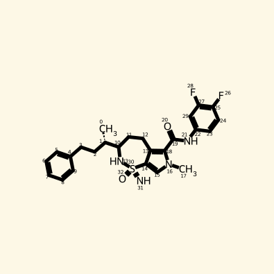 C[C@@H](CCc1ccccc1)C1CCc2c(cn(C)c2C(=O)Nc2ccc(F)c(F)c2)S(=N)(=O)N1